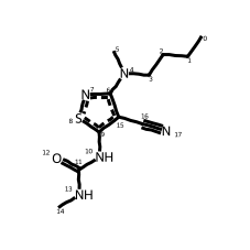 CCCCN(C)c1nsc(NC(=O)NC)c1C#N